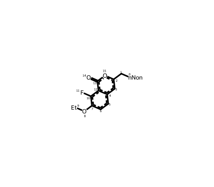 CCCCCCCCCCc1cc2ccc(OCC)c(F)c2c(=O)o1